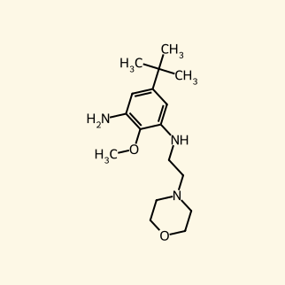 COc1c(N)cc(C(C)(C)C)cc1NCCN1CCOCC1